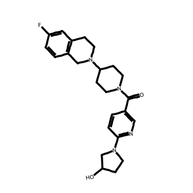 O=C(c1ccc(N2CCC(O)C2)nc1)N1CCC(N2CCc3cc(F)ccc3C2)CC1